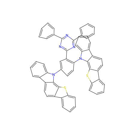 c1ccc(-c2nc(-c3ccccc3)nc(-c3cc(-n4c5ccccc5c5ccc6c7ccccc7sc6c54)ccc3-n3c4ccccc4c4ccc5c6ccccc6sc5c43)n2)cc1